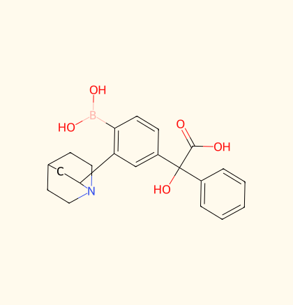 O=C(O)C(O)(c1ccccc1)c1ccc(B(O)O)c(C2CC3CCN2CC3)c1